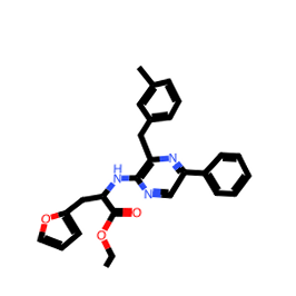 CCOC(=O)C(Cc1ccco1)Nc1ncc(-c2ccccc2)nc1Cc1cccc(C)c1